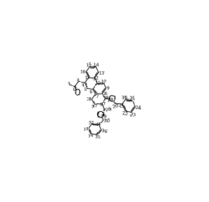 CC(=O)Cc1cc2c3c(ccc2c2ccccc12)C(OCc1ccccc1)C(COCc1ccccc1)CC3